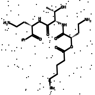 CC[C@H](C)CCCCC(=O)O[C@@H](CCN)C(=O)N[C@H](C(=O)N[C@@H](CCN)C(=O)C(C)C)[C@H](C)O